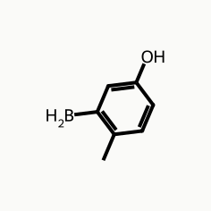 Bc1cc(O)ccc1C